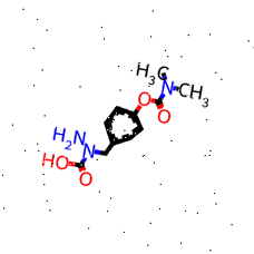 CN(C)C(=O)Oc1ccc(CN(N)C(=O)O)cc1